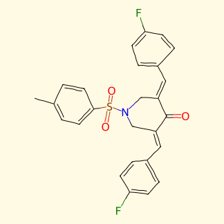 Cc1ccc(S(=O)(=O)N2C/C(=C\c3ccc(F)cc3)C(=O)/C(=C/c3ccc(F)cc3)C2)cc1